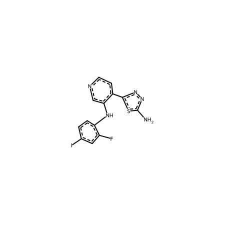 Nc1nnc(-c2ccncc2Nc2ccc(I)cc2F)s1